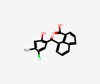 Cc1cc(O)c(C(=O)c2cccc3cccc(C(=O)O)c23)cc1Cl